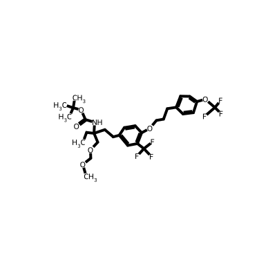 CCC(CCc1ccc(OCCCc2ccc(OC(F)(F)F)cc2)c(C(F)(F)F)c1)(COCOC)NC(=O)OC(C)(C)C